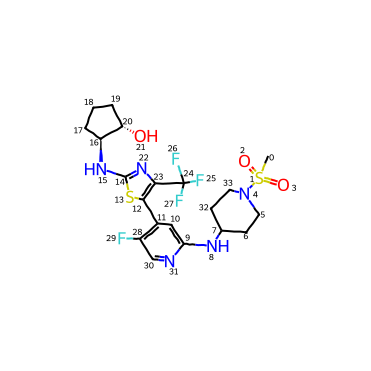 CS(=O)(=O)N1CCC(Nc2cc(-c3sc(N[C@H]4CCC[C@@H]4O)nc3C(F)(F)F)c(F)cn2)CC1